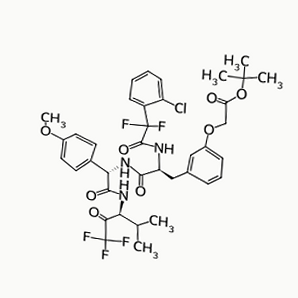 COc1ccc([C@H](NC(=O)[C@H](Cc2cccc(OCC(=O)OC(C)(C)C)c2)NC(=O)C(F)(F)c2ccccc2Cl)C(=O)N[C@H](C(=O)C(F)(F)F)C(C)C)cc1